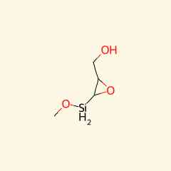 CO[SiH2]C1OC1CO